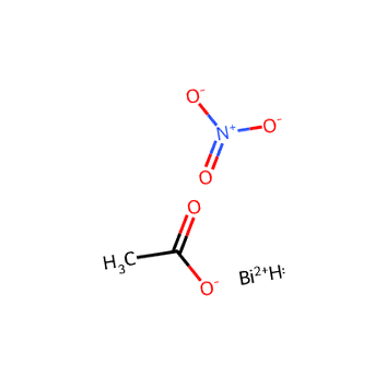 CC(=O)[O-].O=[N+]([O-])[O-].[BiH+2]